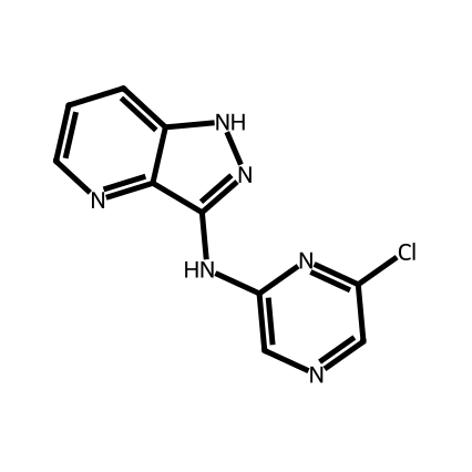 Clc1cncc(Nc2n[nH]c3cccnc23)n1